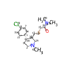 CN1CC[C@H](c2ccc(Cl)cc2)[C@@H](CSCC(=O)N(C)C)C1